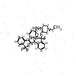 CCN1CCN(NC(=O)/C=C\n2nc(-c3ccccc3C(F)(F)F)nc2-c2ccccc2C(F)(F)F)CC1